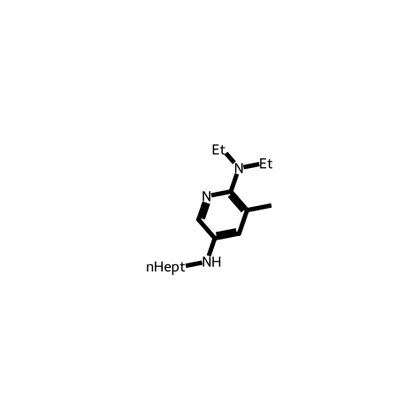 CCCCCCCNc1cnc(N(CC)CC)c(C)c1